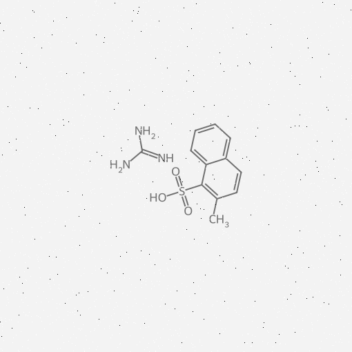 Cc1ccc2ccccc2c1S(=O)(=O)O.N=C(N)N